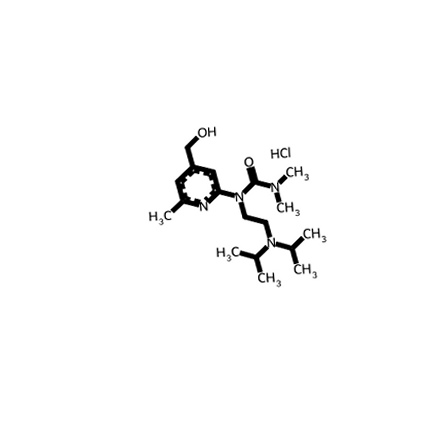 Cc1cc(CO)cc(N(CCN(C(C)C)C(C)C)C(=O)N(C)C)n1.Cl